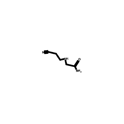 N#CCCNCC(N)=O